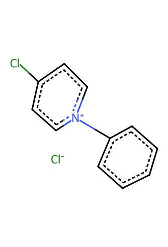 Clc1cc[n+](-c2ccccc2)cc1.[Cl-]